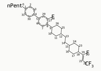 CCCCCc1ccc(-c2ccc(C3CCC(CCC4CCC(/C(F)=C/C(F)(F)F)CC4)CC3)c(F)c2)cc1